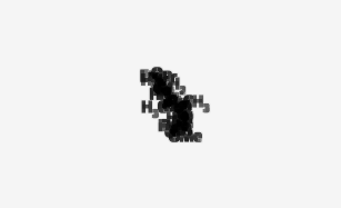 C=C([C@@H](NC(=O)CC)C(C)C)N1CCC[C@H]1c1ncc(-c2ccc(-c3ccc(-c4cnc([C@@H]5CCCN5C(=O)[C@@H](NC(=O)OC)C(C)C)[nH]4)c4oc(C)cc34)c3oc(C)cc23)[nH]1